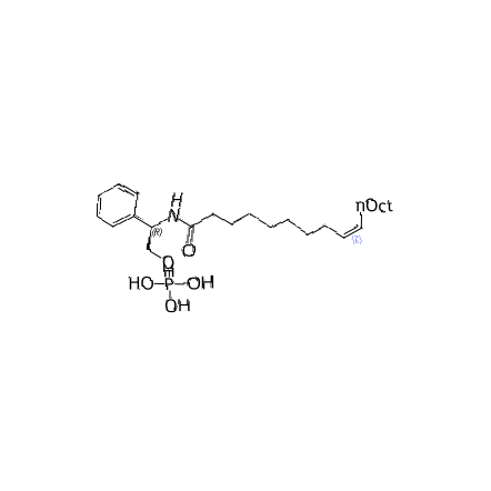 CCCCCCCC/C=C\CCCCCCCC(=O)N[C@@H](CO[PH](O)(O)O)c1ccccc1